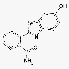 NC(=O)c1ccccc1-c1nc2ccc(O)cc2s1